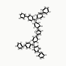 c1ccc(-c2ccc(N(c3ccc(-c4ccc(-c5ccc(N(c6ccc(-c7ccccc7)cc6)c6ccc(-c7ccccc7)nc6)cc5)o4)cc3)c3ccc(-c4ccccc4)nc3)cc2)cc1